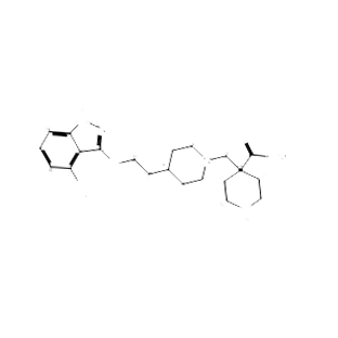 COC(=O)C1(CN2CCC(CCOc3noc4cccc(O)c34)CC2)CCOCC1